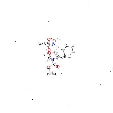 CNS(=O)(=O)N(C[C@H]1OC(C)(C)N(C(=O)OC(C)(C)C)[C@H]1CC1CCCCC1)C(C)C